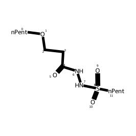 CCCCCOCCC(=O)NNS(=O)(=O)CCCCC